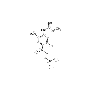 C=NC(=N)Nc1cc(N)c(N(C)CCN(C)C)cc1OC